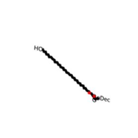 CCCCCCCCCCCC(=O)OCCCCCCCCCCCCCCCCCCCCCCCCCCCCCCCCCCCCO